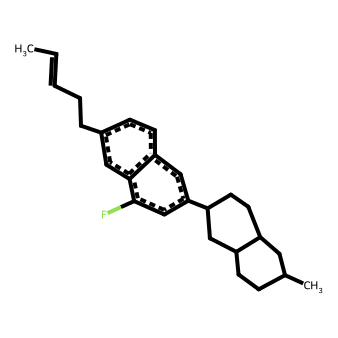 C/C=C/CCc1ccc2cc(C3CCC4CC(C)CCC4C3)cc(F)c2c1